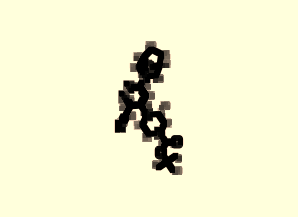 C[C@@H]1CN(C(=O)OC(C)(C)C)CCN1c1cc(N2CC3CCC(C2)O3)nnc1C#N